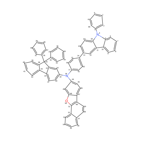 c1ccc(-n2c3ccccc3c3cc(-c4ccc(N(c5ccc6c(c5)C(c5ccccc5)(c5ccccc5)c5ccccc5-6)c5ccc6c(c5)oc5c7ccccc7ccc65)cc4)ccc32)cc1